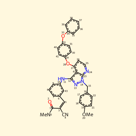 CNC(=O)C(C#N)=Cc1cccc(Nc2nn(Cc3ccc(OC)cc3)c3nccc(Oc4ccc(Oc5ccccc5)cc4)c23)c1